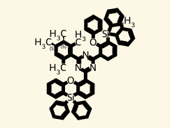 CC1=C[C@@H](C)[C@H](C)C(C)=C1c1nc(-c2cccc3c2Oc2ccccc2[Si]3(C2=CCCC=C2)C2=CCCC=C2)nc(C2CC=CC3=C2Oc2ccccc2[Si]3(c2ccccc2)C2C=CC=CC2C)n1